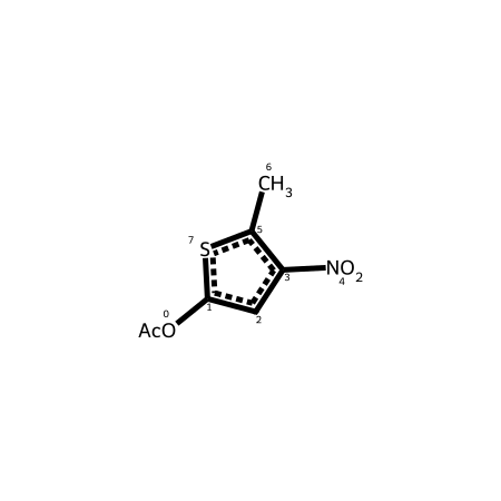 CC(=O)Oc1cc([N+](=O)[O-])c(C)s1